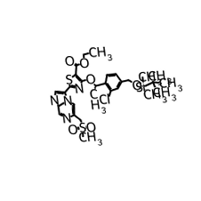 CCOC(=O)c1sc(-c2cnc3cnc(CS(C)(=O)=O)cn23)nc1O[C@H](C)c1ccc(CO[Si](C)(C)C(C)(C)C)cc1Cl